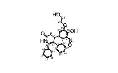 O=Nc1cc(C2CC(=O)NC(c3ccccc3)=C2c2ccccc2)cc(OCCO)c1O